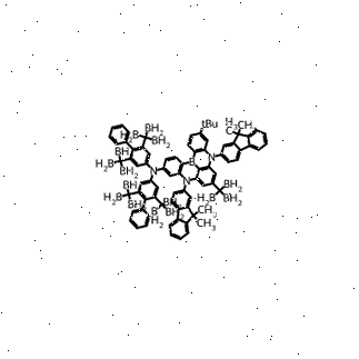 BC(B)(B)c1cc2c3c(c1)N(c1ccc4c(c1)C(C)(C)c1ccccc1-4)c1cc(C(C)(C)C)ccc1B3c1ccc(N(c3cc(C(B)(B)B)c(-c4ccccc4)c(C(B)(B)B)c3)c3cc(C(B)(B)B)c(-c4ccccc4)c(C(B)(B)B)c3)cc1N2c1ccc2c(c1)C(C)(C)c1ccccc1-2